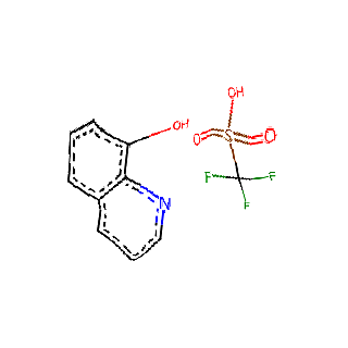 O=S(=O)(O)C(F)(F)F.Oc1cccc2cccnc12